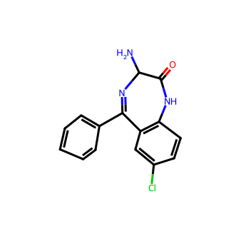 NC1N=C(c2ccccc2)c2cc(Cl)ccc2NC1=O